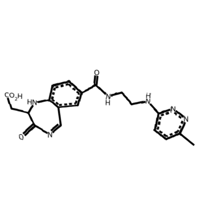 Cc1ccc(NCCNC(=O)c2ccc3c(c2)C=NC(=O)C(CC(=O)O)N3)nn1